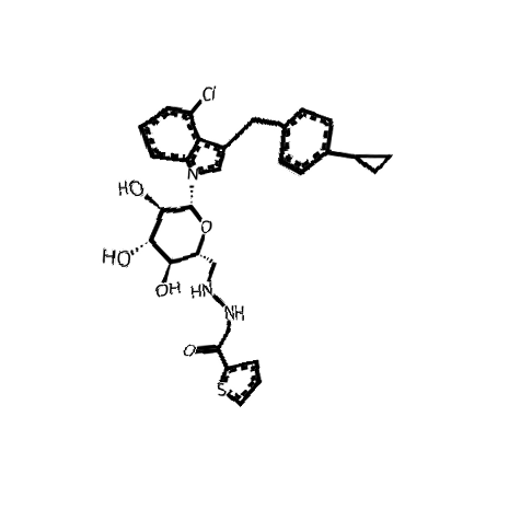 O=C(NNC[C@H]1O[C@@H](n2cc(Cc3ccc(C4CC4)cc3)c3c(Cl)cccc32)[C@H](O)[C@@H](O)[C@@H]1O)c1cccs1